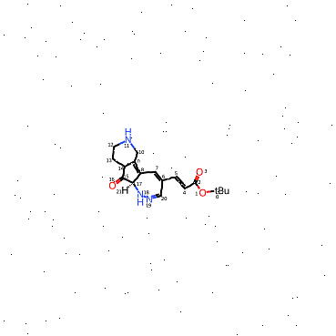 CC(C)(C)OC(=O)/C=C/C1=CC2=C3CNCCC3C(=O)[C@@H]2NN=C1